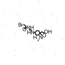 NCC1(CC(=O)O)CCC(NCCNC(=O)CBr)CC1